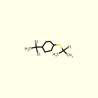 CCC(C)(C)SC1CCC(C(C)(CC)CC)CC1